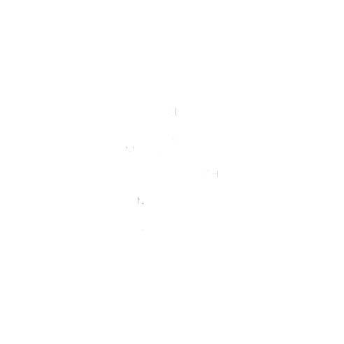 Cc1cccnc1C(=O)OCl